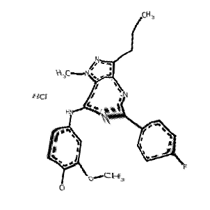 CCCc1nn(C)c2c(Nc3ccc(Cl)c(OC)c3)nc(-c3ccc(F)cc3)nc12.Cl